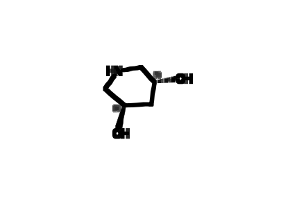 O[C@H]1CNC[C@H](O)C1